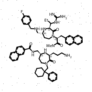 CCC(NC(=N)N)[C@@H]1N[C@@H](CNCc2ccc(F)cc2)CCN([C@@H](Cc2ccc3ccccc3c2)C(=O)NC)C1=O.NCCC[C@@H]1N[C@H](CNC(=O)c2ccc3ccccc3c2)CCN(CC2(c3ccccc3)CCCCC2)C1=O